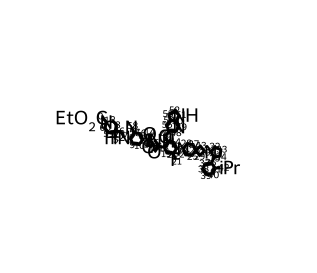 CCOC(=O)N1CCC(F)(CNc2ccc(S(=O)(=O)NC(=O)c3cc(F)c(N4CCC5(CC4)CC(N4CCCC4c4ccccc4C(C)C)C5)cc3Oc3cnc4[nH]ccc4c3)cc2[N+](=O)[O-])CC1